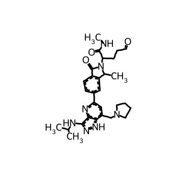 CNC(=O)C(CCC=O)N1C(=O)c2ccc(-c3cc(CN4CCCC4)c4[nH]nc(NC(C)C)c4n3)cc2C1C